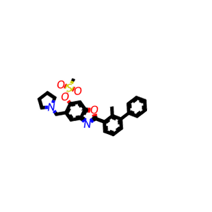 Cc1c(-c2ccccc2)cccc1-c1nc2cc(CN3CCCC3)c(OS(C)(=O)=O)cc2o1